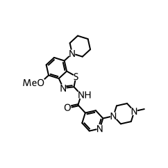 COc1ccc(N2CCCCC2)c2sc(NC(=O)c3ccnc(N4CCN(C)CC4)c3)nc12